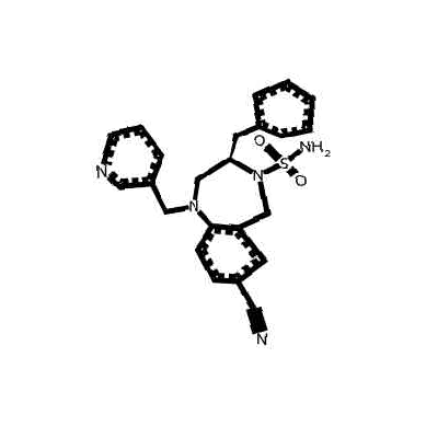 N#Cc1ccc2c(c1)CN(S(N)(=O)=O)[C@H](Cc1ccccc1)CN2Cc1cccnc1